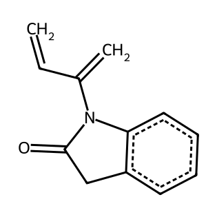 C=CC(=C)N1C(=O)Cc2ccccc21